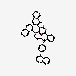 c1ccc(N(c2ccc(-c3cccc4ccccc34)cc2)c2ccc(-c3cccc4ccccc34)cc2)c(-c2ccc3c(c2)oc2c4ccccc4ccc32)c1